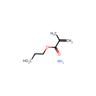 C=C(C)C(=O)OCCC(=O)O.N